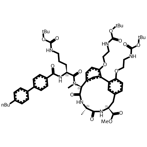 CCCCc1ccc(-c2ccc(C(=O)N[C@@H](CCCNC(=O)OC(C)(C)C)C(=O)N(C)[C@@H]3C(=O)N[C@@H](C)C(=O)N[C@H](C(=O)OC)Cc4ccc(OCCNC(=O)OC(C)(C)C)c(c4)-c4cc3ccc4OCCNC(=O)OC(C)(C)C)cc2)cc1